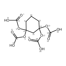 O=C(O)OC1(OC(=O)O)CCCC(OC(=O)O)(OC(=O)O)C1